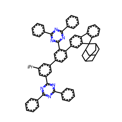 CC(C)c1cc(-c2ccc(-c3ccc4c(c3)C3(c5ccccc5-4)C4CC5CC(C4)CC3C5)c(-c3nc(-c4ccccc4)nc(-c4ccccc4)n3)c2)cc(-c2nc(-c3ccccc3)nc(-c3ccccc3)n2)c1